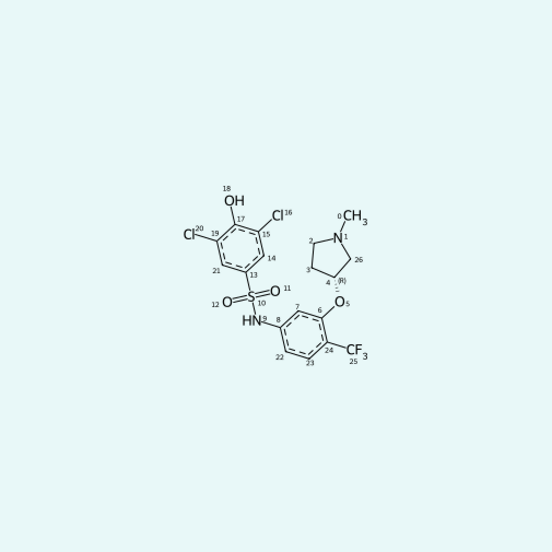 CN1CC[C@@H](Oc2cc(NS(=O)(=O)c3cc(Cl)c(O)c(Cl)c3)ccc2C(F)(F)F)C1